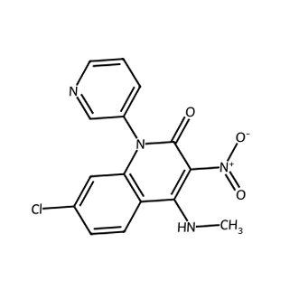 CNc1c([N+](=O)[O-])c(=O)n(-c2cccnc2)c2cc(Cl)ccc12